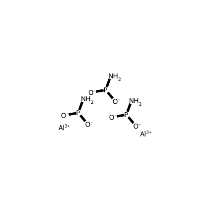 NP([O-])[O-].NP([O-])[O-].NP([O-])[O-].[Al+3].[Al+3]